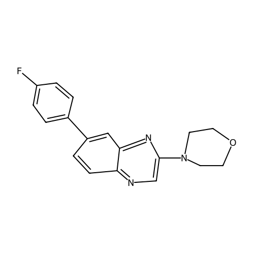 Fc1ccc(-c2ccc3ncc(N4CCOCC4)nc3c2)cc1